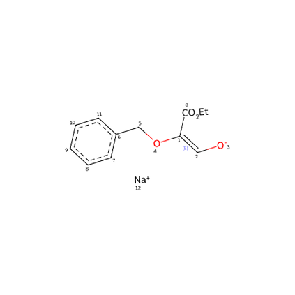 CCOC(=O)/C(=C\[O-])OCc1ccccc1.[Na+]